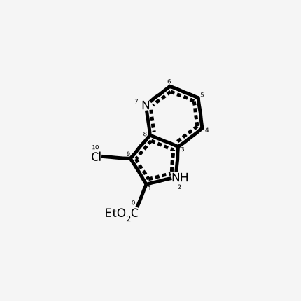 CCOC(=O)c1[nH]c2cccnc2c1Cl